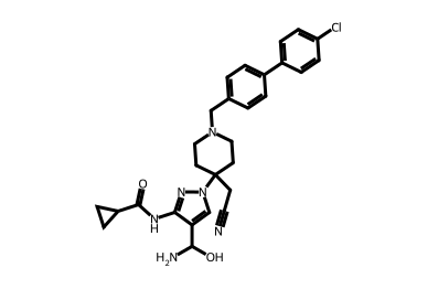 N#CCC1(n2cc(C(N)O)c(NC(=O)C3CC3)n2)CCN(Cc2ccc(-c3ccc(Cl)cc3)cc2)CC1